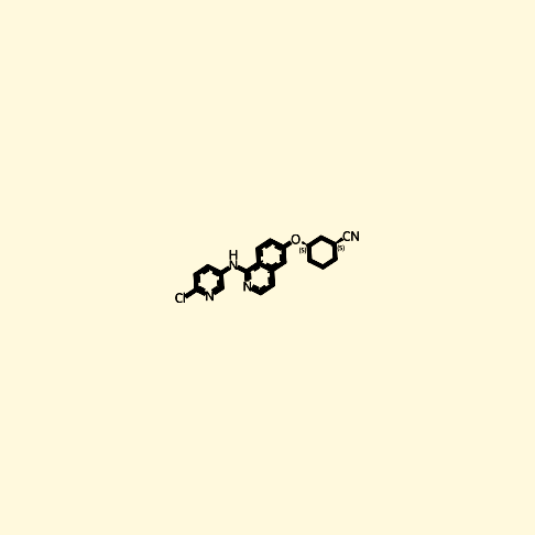 N#C[C@H]1CCC[C@H](Oc2ccc3c(Nc4ccc(Cl)nc4)nccc3c2)C1